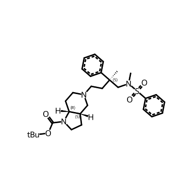 CN(C[C@@](C)(CCN1CC[C@@H]2[C@@H](CCN2C(=O)OC(C)(C)C)C1)c1ccccc1)S(=O)(=O)c1ccccc1